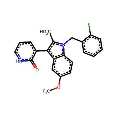 O=C(O)c1c(-c2ccc[nH]c2=O)c2cc(OC(F)(F)F)ccc2n1Cc1ccccc1F